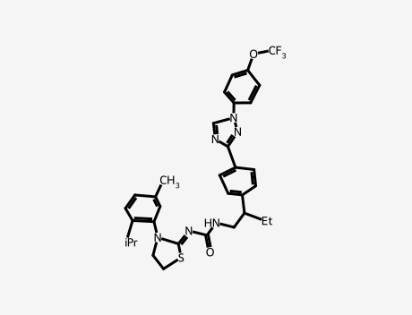 CCC(CNC(=O)/N=C1\SCCN1c1cc(C)ccc1C(C)C)c1ccc(-c2ncn(-c3ccc(OC(F)(F)F)cc3)n2)cc1